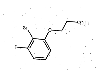 O=C(O)CCOc1cccc(F)c1Br